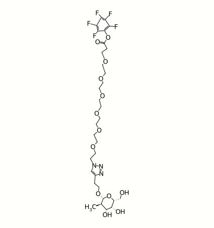 C[C@H]1[C@H](OCCc2cn(CCOCCOCCOCCOCCOCCOCCC(=O)Oc3c(F)c(F)c(F)c(F)c3F)nn2)O[C@H](CO)[C@H](O)[C@@H]1O